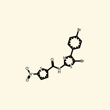 O=C(Nc1nc(-c2ccc(Br)cc2)c(Br)s1)c1ccc([N+](=O)[O-])s1